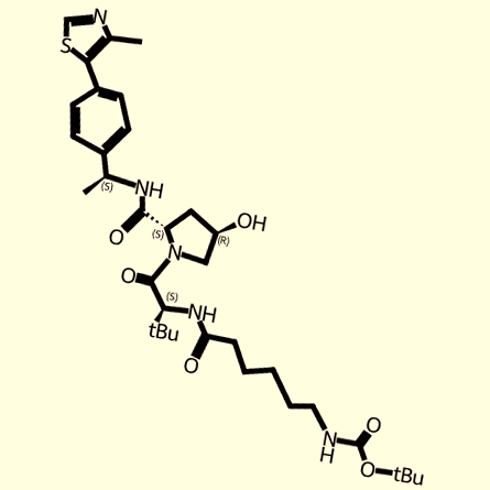 Cc1ncsc1-c1ccc([C@H](C)NC(=O)[C@@H]2C[C@@H](O)CN2C(=O)[C@@H](NC(=O)CCCCCNC(=O)OC(C)(C)C)C(C)(C)C)cc1